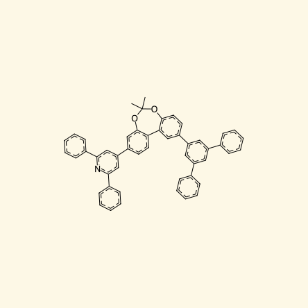 CC1(C)Oc2cc(-c3cc(-c4ccccc4)nc(-c4ccccc4)c3)ccc2-c2cc(-c3cc(-c4ccccc4)cc(-c4ccccc4)c3)ccc2O1